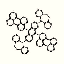 c1ccc2c(c1)CCc1ccccc1N2c1ccc2c(-c3ccc4c5cccc6cccc(c7cccc3c74)c65)c3cc(N4c5ccccc5CCc5ccccc54)ccc3c(-c3ccc4c5cccc6cccc(c7cccc3c74)c65)c2c1